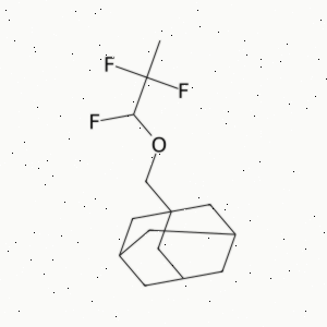 CC(F)(F)C(F)OCC12CC3CC(CC(C3)C1)C2